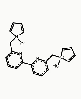 [O-][N+]1(Cc2cccc(-c3cccc(C[N+]4(O)C=CC=C4)n3)n2)C=CC=C1